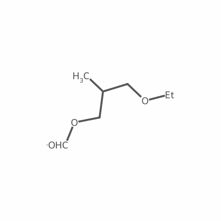 CCOCC(C)CO[C]=O